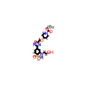 CC(C)(C)OC(=O)N1CCC(OCc2nc(-c3ccc(S(C)(=O)=O)c(NCCO)c3)no2)CC1